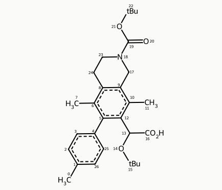 Cc1ccc(-c2c(C)c3c(c(C)c2C(OC(C)(C)C)C(=O)O)CN(C(=O)OC(C)(C)C)CC3)cc1